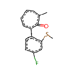 CSc1cc(F)ccc1-c1ccccc(C)c1=O